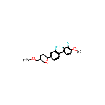 CCCOCC1CCC(c2ccc(-c3ccc(OCC)c(F)c3F)c(F)c2)OC1